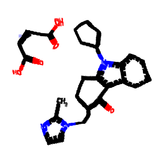 Cc1nccn1CC1CCc2c(c3ccccc3n2C2CCCC2)C1=O.O=C(O)/C=C\C(=O)O